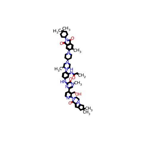 C=CC(=O)Nc1cc(Nc2nc(-c3ccnc(N4CCn5c(cc6c5CC(C)(C)C6)C4=O)c3CO)cn(C)c2=O)ccc1N1CCN(C2CCN(c3cc4c(cc3C)C(=O)N(C3CCC(C)(C)CC3)C4=O)CC2)C[C@@H]1C